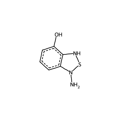 NN1SNc2c(O)cccc21